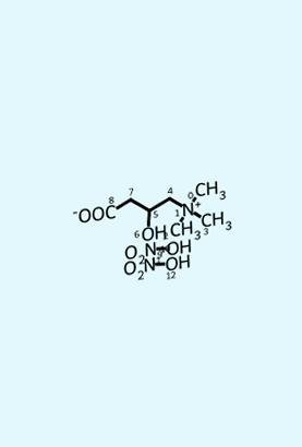 C[N+](C)(C)CC(O)CC(=O)[O-].O=[N+]([O-])O.O=[N+]([O-])O